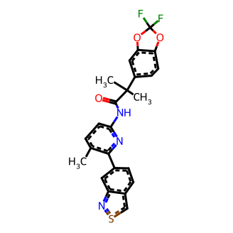 Cc1ccc(NC(=O)C(C)(C)c2ccc3c(c2)OC(F)(F)O3)nc1-c1ccc2csnc2c1